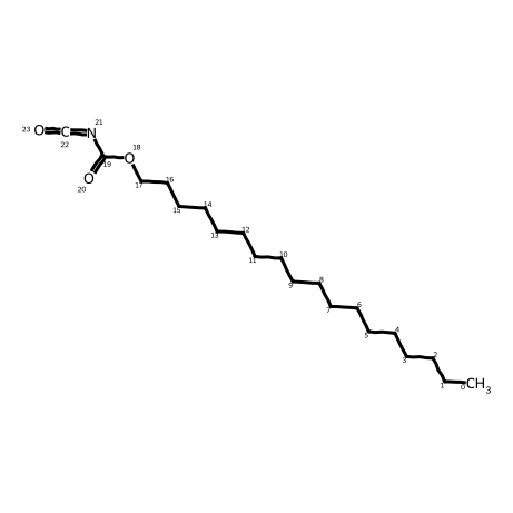 CCCCCCCCCCCCCCCCCCOC(=O)N=C=O